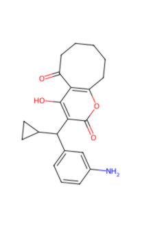 Nc1cccc(C(c2c(O)c3c(oc2=O)CCCCCC3=O)C2CC2)c1